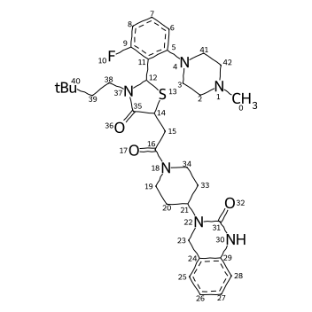 CN1CCN(c2cccc(F)c2C2SC(CC(=O)N3CCC(N4Cc5ccccc5NC4=O)CC3)C(=O)N2CCC(C)(C)C)CC1